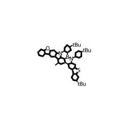 Cc1cc2c3c4c1c1cc5c(cc1n4-c1ccc(C(C)(C)C)cc1B3N(c1ccc(C(C)(C)C)cc1)c1cc3sc4cc(C(C)(C)C)ccc4c3cc1-2)oc1ccccc15